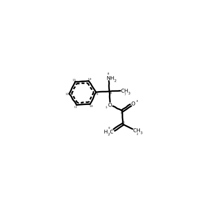 C=C(C)C(=O)OC(C)(N)c1ccccc1